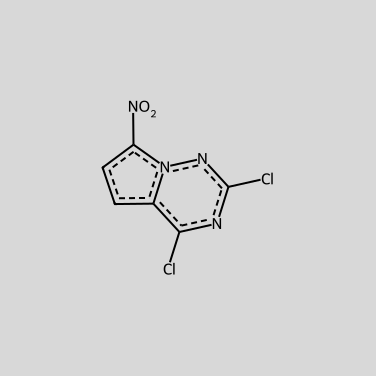 O=[N+]([O-])c1ccc2c(Cl)nc(Cl)nn12